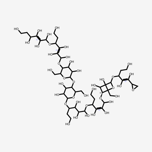 OCCC(OC(O)C(O)C(O)C(CCO)OC1OC(CO)C(OC2OC(CO)C(OC(O)/C(O)=C(\O)C(CCO)OC(O)/C(O)=C(\O)C(O)CCO)C(O)C2O)C(O)C1O)/C(O)=C(/O)C(O)O[C@H]1C(O)C2(O)C(OC(CCO)/C(O)=C(\O)C3CO3)OC12CO